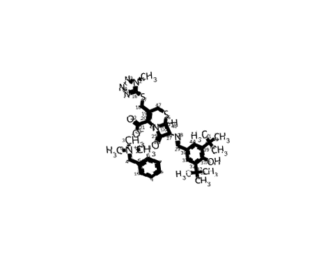 C[N+](C)(C)Cc1ccccc1.Cn1nnnc1SCC1=C(C(=O)[O-])N2C(=O)[C@@H](N=Cc3cc(C(C)(C)C)c(O)c(C(C)(C)C)c3)[C@@H]2SC1